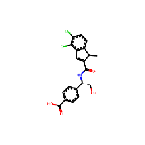 CC1C(C(=O)N[C@H](CO)c2ccc(C(=O)O)cc2)=Cc2c1ccc(Cl)c2Cl